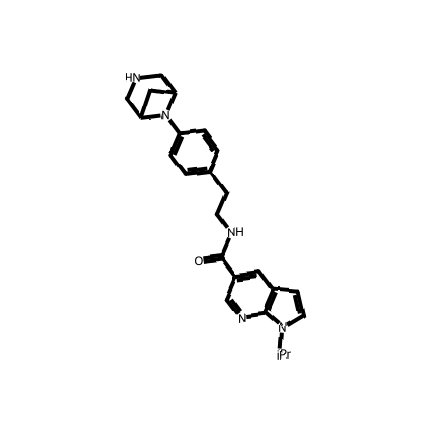 CC(C)n1ccc2cc(C(=O)NCCc3ccc(N4C5CNCC4C5)cc3)cnc21